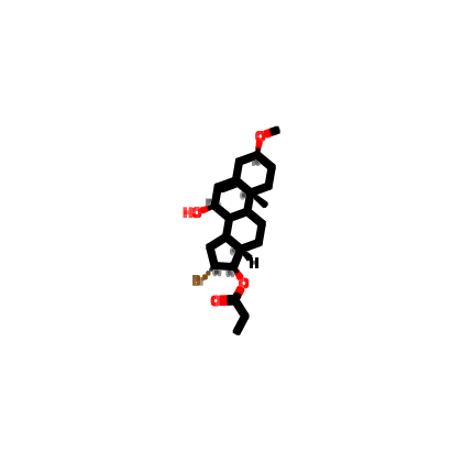 CCC(=O)O[C@H]1[C@H](Br)CC2C3C(CC[C@@H]21)[C@@]1(C)CC[C@H](OC)CC1=C[C@@H]3O